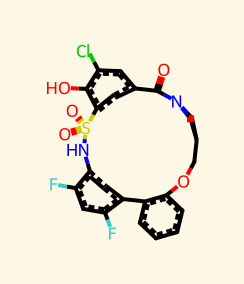 O=C1c2cc(Cl)c(O)c(c2)S(=O)(=O)Nc2cc(c(F)cc2F)-c2ccccc2OCC2CN1C2